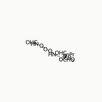 CCCC(C=O)N(C)Cc1c(C=O)cccc1CCCNCCOCCOCCOCCNC=O